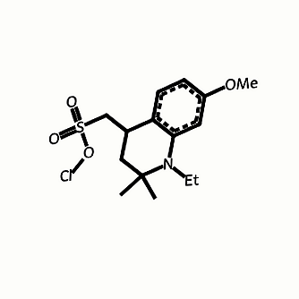 CCN1c2cc(OC)ccc2C(CS(=O)(=O)OCl)CC1(C)C